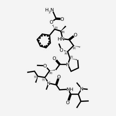 CC[C@H](C)[C@@H]([C@@H](CC(=O)N1CCC[C@H]1[C@H](OC)[C@@H](C)C(=O)N[C@H](C)[C@@H](OC(N)=O)c1ccccc1)OC)N(C)C(=O)CNC(=O)C(C(C)C)N(C)C